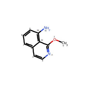 COc1nccc2cccc(N)c12